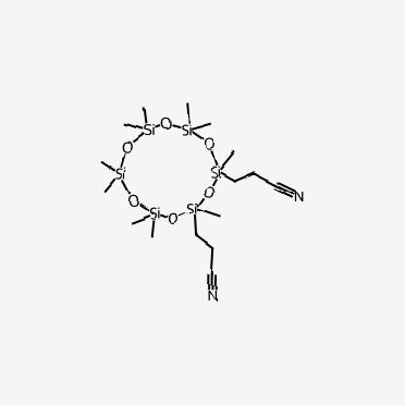 C[Si]1(C)O[Si](C)(C)O[Si](C)(C)O[Si](C)(CCC#N)O[Si](C)(CCC#N)O[Si](C)(C)O1